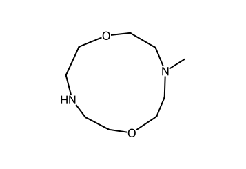 CN1CCOCCNCCOCC1